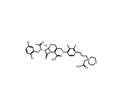 CC(=O)N(Sc1cc(Cl)ccc1Cl)[C@H]1C(=O)N2C(C(=O)O)=C(CSc3cc[n+](CCC[N+]4(CC(=O)O)CCOCC4)c(C)c3C)CS[C@H]12